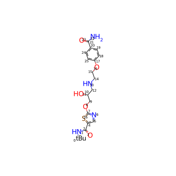 CC(C)(C)NC(=O)c1cnc(OCC(O)CNCCOc2ccc(C(N)=O)cc2)s1